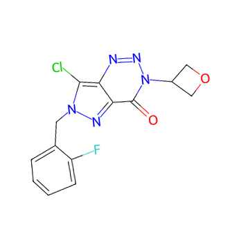 O=c1c2nn(Cc3ccccc3F)c(Cl)c2nnn1C1COC1